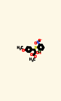 COC(=O)C(O)C(Sc1c(Cl)cccc1[N+](=O)[O-])c1ccc(OC)cc1